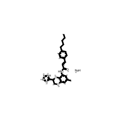 CCCCCc1ccc(C=CC(=O)Nc2cc(C)cc3c2OC(c2nnn[nH]2)CO3)cc1.[NaH]